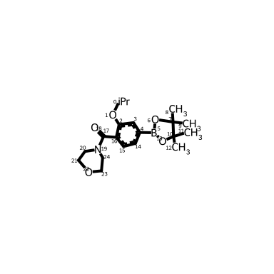 CC(C)Oc1cc(B2OC(C)(C)C(C)(C)O2)ccc1C(=O)N1CCOCC1